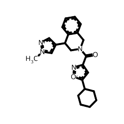 Cn1cc(C2CN(C(=O)c3cc(C4CCCCC4)on3)Cc3ccccc32)cn1